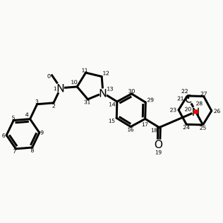 CN(CCc1ccccc1)C1CCN(c2ccc(C(=O)N3CC4CCC(CC4)C3)cc2)C1